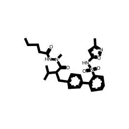 CCCCC(=O)NN(C)C(=O)C(Cc1ccc(-c2ccccc2S(=O)(=O)Nc2cc(C)no2)cc1)C(C)C